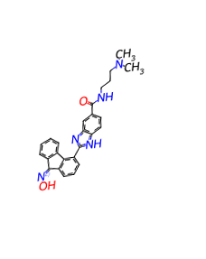 CN(C)CCCNC(=O)c1ccc2[nH]c(-c3cccc4c3-c3ccccc3/C4=N/O)nc2c1